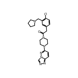 O=C(Cc1ccc(Cl)c(CN2CCCC2)c1)N1CCN(c2ccc3nncn3n2)CC1